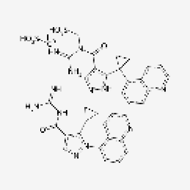 CS(=O)(=O)O.N=C(N)N(CS(=O)(=O)O)C(=O)c1cn[nH]c1C1(c2cccc3ncccc23)CC1.N=C(N)NC(=O)c1cnn(-c2cccc3ncccc23)c1C1CC1